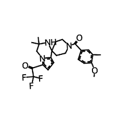 COc1ccc(C(=O)N2CCC3(CC2)NC(C)(C)Cn2c(C(=O)C(F)(F)F)ccc23)cc1C